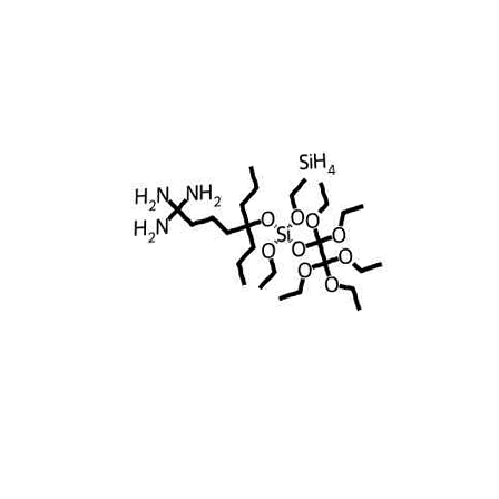 CCCC(CCC)(CCCC(N)(N)N)O[Si](OCC)(OCC)OC(OCC)(OCC)C(OCC)(OCC)OCC.[SiH4]